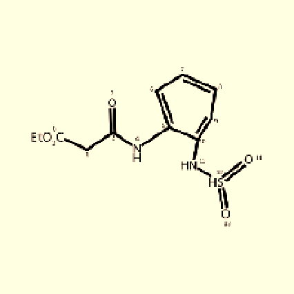 CCOC(=O)CC(=O)Nc1ccccc1N[SH](=O)=O